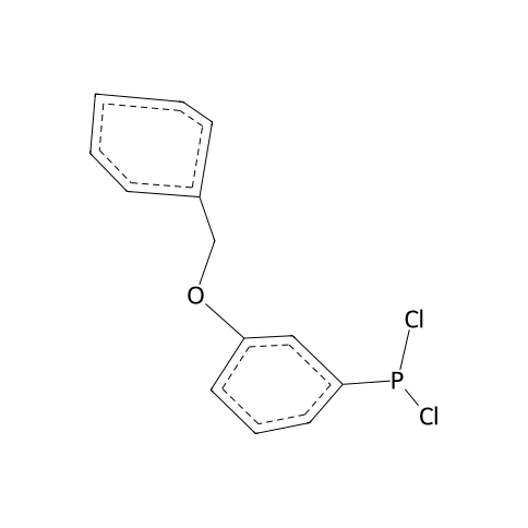 ClP(Cl)c1cccc(OCc2ccccc2)c1